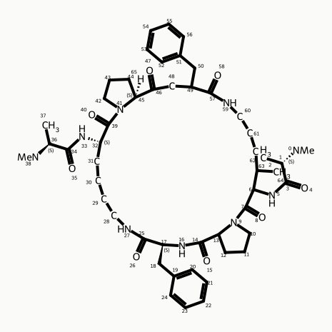 CN[C@@H](C)C(=O)NC1C(=O)N2CCCC2C(=O)N[C@@H](Cc2ccccc2)C(=O)NCCCC[C@H](NC(=O)[C@H](C)NC)C(=O)N2CCC[C@H]2C(=O)CC(Cc2ccccc2)C(=O)NCCCC1C